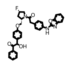 O=C(c1ccccc1)C(O)c1ccc(OC[C@@H]2C[C@H](F)CN2C(=O)Cc2ccc(Nc3nc4ccccc4o3)cc2)cc1